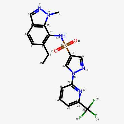 CCc1ccc2cnn(C)c2c1NS(=O)(=O)c1cnn(-c2cccc(C(F)(F)F)n2)c1